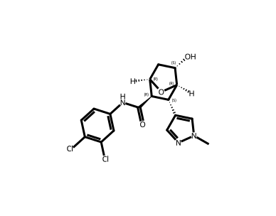 Cn1cc([C@H]2[C@H]3O[C@H](C[C@@H]3O)[C@@H]2C(=O)Nc2ccc(Cl)c(Cl)c2)cn1